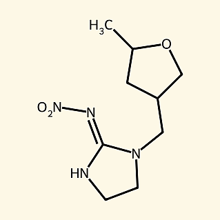 CC1CC(CN2CCNC2=N[N+](=O)[O-])CO1